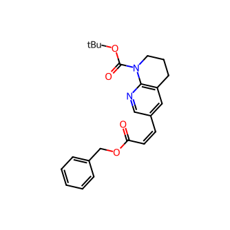 CC(C)(C)OC(=O)N1CCCc2cc(/C=C\C(=O)OCc3ccccc3)cnc21